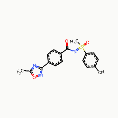 CS(=O)(=NC(=O)c1ccc(-c2noc(C(F)(F)F)n2)cc1)c1ccc(C#N)cc1